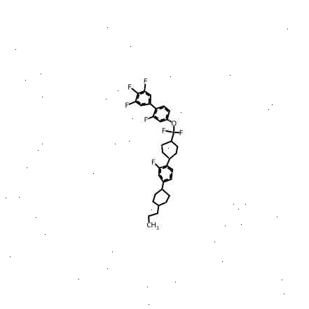 CCCC1CCC(c2ccc(C3CCC(C(F)(F)Oc4ccc(-c5cc(F)c(F)c(F)c5)c(F)c4)CC3)c(F)c2)CC1